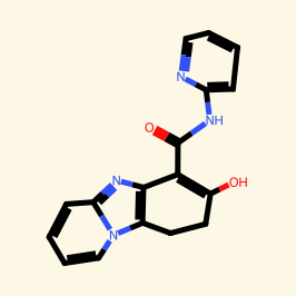 O=C(Nc1ccccn1)C1=C(O)CCc2c1nc1ccccn21